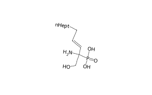 CCCCCCCC/C=C/C(N)(CO)P(=O)(O)O